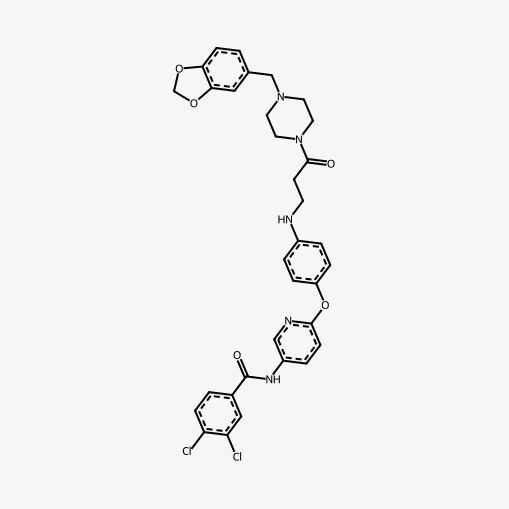 O=C(Nc1ccc(Oc2ccc(NCCC(=O)N3CCN(Cc4ccc5c(c4)OCO5)CC3)cc2)nc1)c1ccc(Cl)c(Cl)c1